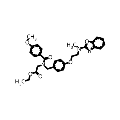 CCOC(=O)CN(Cc1ccc(OCCN(C)c2nc3ccccc3o2)cc1)C(=O)c1ccc(OC)cc1